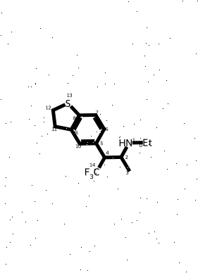 CCNC(C)C(c1ccc2c(c1)CCS2)C(F)(F)F